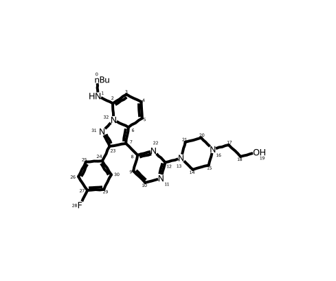 CCCCNc1cccc2c(-c3ccnc(N4CCN(CCO)CC4)n3)c(-c3ccc(F)cc3)nn12